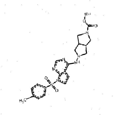 Cc1ccc(S(=O)(=O)n2ccc3c(NN4CC5CN(C(=O)OC(C)(C)C)CC5C4)ncnc32)cc1